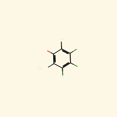 COc1c(O)c(C(=O)O)c(F)c(F)c1F